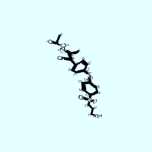 CC(=O)O/N=C(\C)C(=O)c1ccc(Sc2ccc(S(=O)(=O)CCCO)cc2)cc1